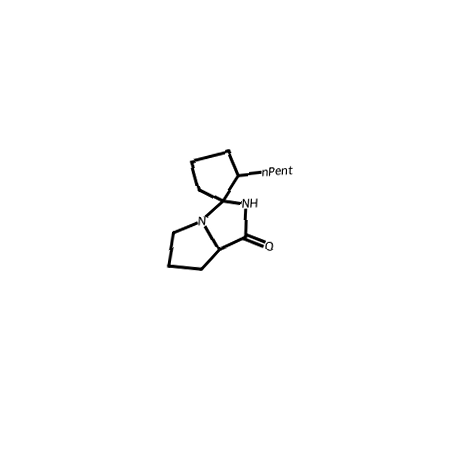 CCCCCC1CCCC12NC(=O)C1CCCN12